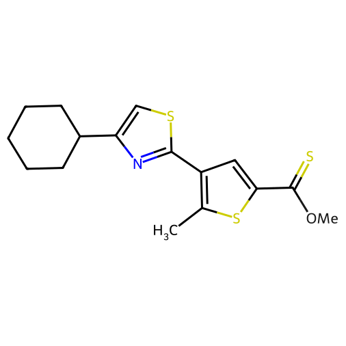 COC(=S)c1cc(-c2nc(C3CCCCC3)cs2)c(C)s1